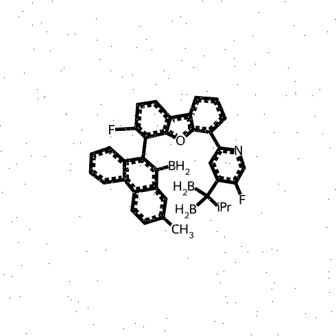 Bc1c(-c2c(F)ccc3c2oc2c(-c4cc(C(B)(B)C(C)C)c(F)cn4)cccc23)c2ccccc2c2ccc(C)cc12